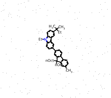 CCCCCCCCC1(CCCCCCCC)c2cc(C)ccc2-c2ccc(-c3ccc4c(c3)c3cc(C(C)(C)CC)ccc3n4CC)cc21